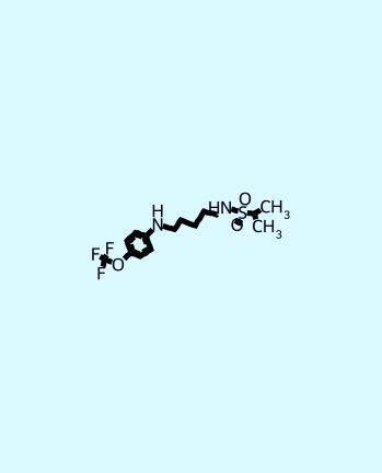 CC(C)S(=O)(=O)NCCCCCNc1ccc(OC(F)(F)F)cc1